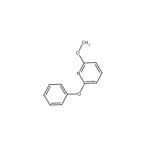 COc1cccc(Oc2ccccc2)n1